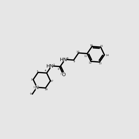 CN1CCC(NC(=O)NCCc2ccccc2)CC1